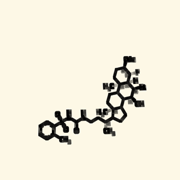 CC[C@@H]1[C@@H]2[C@@H](F)[C@H](OC(C)=O)CC[C@]2(C)C2CC[C@@]3(C)C(CCC3[C@H](C)CCNC(=O)NS(=O)(=O)c3ccccc3C)C2[C@@H]1O